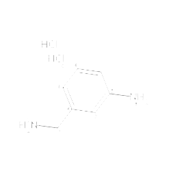 Cl.Cl.NCc1cccc(N)c1